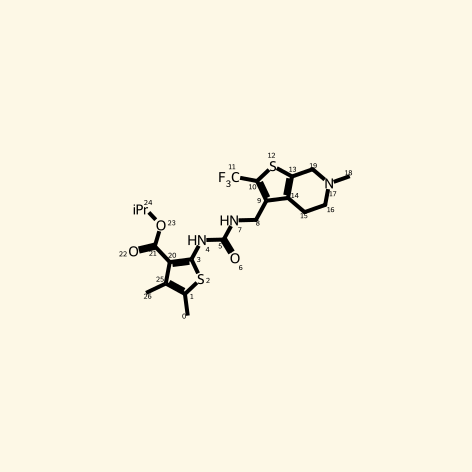 Cc1sc(NC(=O)NCc2c(C(F)(F)F)sc3c2CCN(C)C3)c(C(=O)OC(C)C)c1C